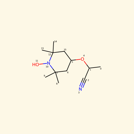 CC(C#N)OC1CC(C)(C)N(O)C(C)(C)C1